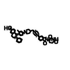 Cc1cc(N2CCC(CN3CCN(c4ccc5c(c4)CN([C@H]4CCC(=O)NC4=O)C5=O)CC3)CC2)ccc1[C@@H]1c2ccc(O)cc2CC[C@@H]1c1ccccc1